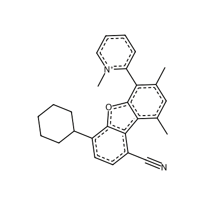 Cc1cc(C)c2c(oc3c(C4CCCCC4)ccc(C#N)c32)c1-c1cccc[n+]1C